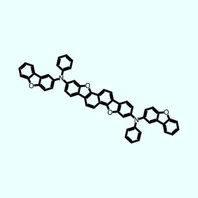 c1ccc(N(c2ccc3c(c2)oc2c3ccc3c2ccc2c4ccc(N(c5ccccc5)c5ccc6oc7ccccc7c6c5)cc4oc23)c2ccc3oc4ccccc4c3c2)cc1